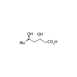 CC[C@H](C)[C@@H](O)C[C@H](O)CC(=O)O